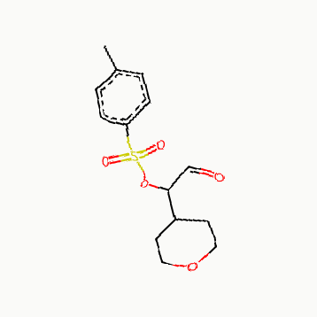 Cc1ccc(S(=O)(=O)OC(C=O)C2CCOCC2)cc1